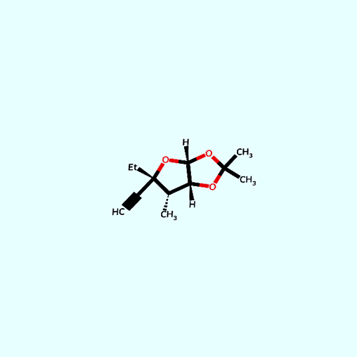 C#C[C@]1(CC)O[C@@H]2OC(C)(C)O[C@@H]2[C@@H]1C